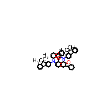 CC1(C)c2ccccc2-c2ccc(N(c3ccccc3-c3ccccc3N(c3ccc4c(c3)C(C)(C)c3ccccc3-4)c3cccc4c3oc3ccccc34)c3cccc4c3oc3ccccc34)cc21